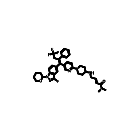 CN(C)C(=O)C=CCNC1CCN(c2ccc(/C(=C(/CC(F)(F)F)c3ccccc3)c3ccc4c(c3)c(F)nn4C3CCCCO3)cn2)CC1